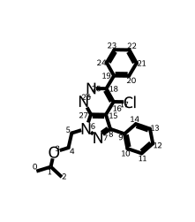 CC(C)OCCn1nc(-c2ccccc2)c2c(Cl)c(-c3ccccc3)nnc21